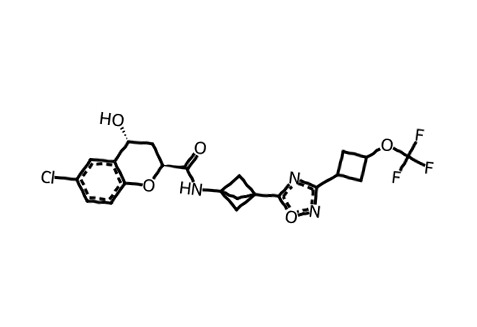 O=C(NC12CC(c3nc(C4CC(OC(F)(F)F)C4)no3)(C1)C2)[C@@H]1C[C@@H](O)c2cc(Cl)ccc2O1